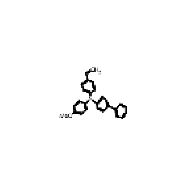 C=Cc1ccc(N(c2ccc(OC)cc2)c2ccc(-c3ccccc3)cc2)cc1